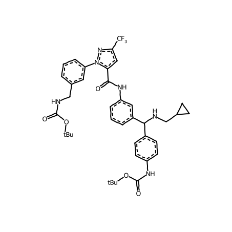 CC(C)(C)OC(=O)NCc1cccc(-n2nc(C(F)(F)F)cc2C(=O)Nc2cccc(C(NCC3CC3)c3ccc(NC(=O)OC(C)(C)C)cc3)c2)c1